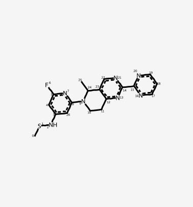 CSNc1cc(F)nc(N2CCc3nc(-c4ncccn4)ncc3C2C)c1